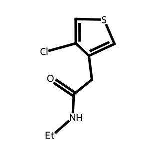 CCNC(=O)Cc1cscc1Cl